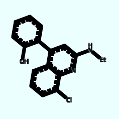 CCNc1cc(-c2ccccc2O)c2cccc(Cl)c2n1